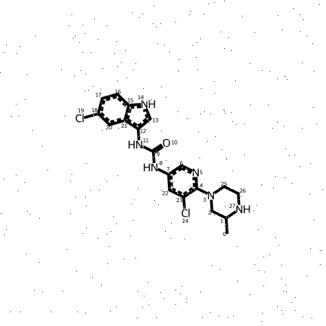 CC1CN(c2ncc(NC(=O)Nc3c[nH]c4ccc(Cl)cc34)cc2Cl)CCN1